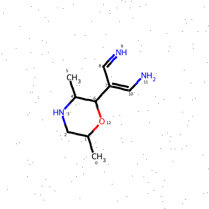 CC1CNC(C)C(/C(C=N)=C/N)O1